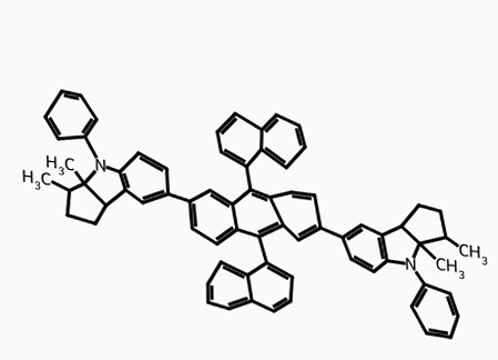 CC1CCC2c3cc(-c4ccc5c(-c6cccc7ccccc67)c6cc(-c7ccc8c(c7)C7CCC(C)C7(C)N8c7ccccc7)ccc6c(-c6cccc7ccccc67)c5c4)ccc3N(c3ccccc3)C12C